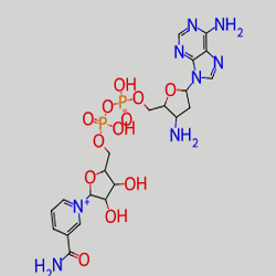 NC(=O)c1ccc[n+](C2OC(COP(=O)(O)OP(=O)(O)OCC3OC(n4cnc5c(N)ncnc54)CC3N)C(O)C2O)c1